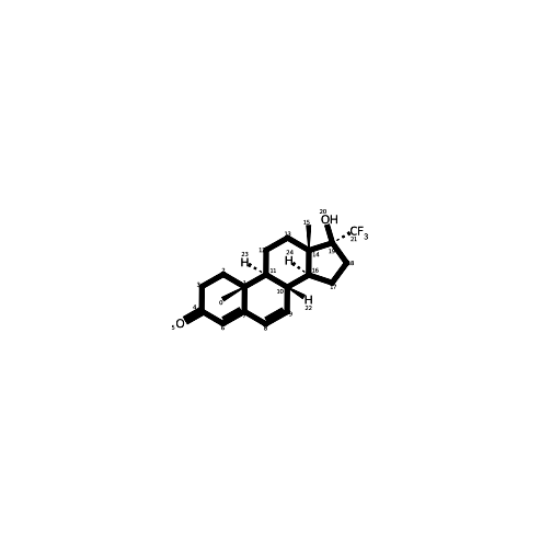 C[C@]12CCC(=O)C=C1C=C[C@@H]1[C@@H]2CC[C@@]2(C)[C@H]1CC[C@@]2(O)C(F)(F)F